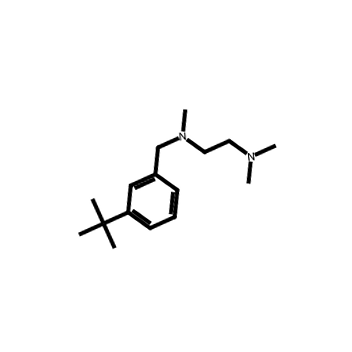 CN(C)CCN(C)Cc1cccc(C(C)(C)C)c1